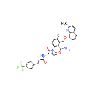 Cc1ccc2cccc(OCc3c(Cl)ccc(N(C)C(=O)CNC(=O)C=Cc4ccc(C(F)(F)F)cc4)c3C(N)=O)c2n1